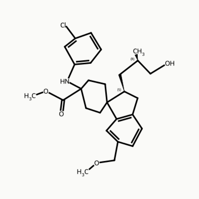 COCc1ccc2c(c1)C1(CCC(Nc3cccc(Cl)c3)(C(=O)OC)CC1)[C@@H](C[C@@H](C)CO)C2